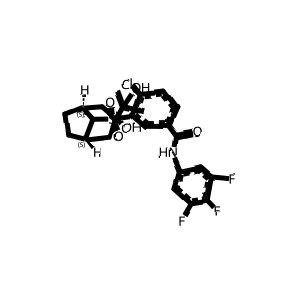 CC(C)(O)C1(O)C[C@@H]2CC[C@@H](C1)C2S(=O)(=O)c1cc(C(=O)Nc2cc(F)c(F)c(F)c2)ccc1Cl